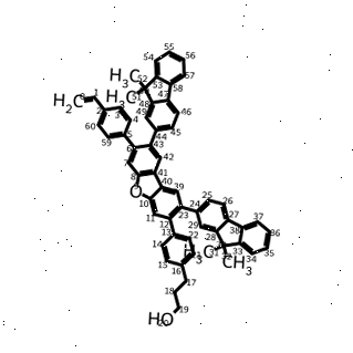 C=Cc1ccc(-c2cc3oc4cc(-c5ccc(CCCO)cc5)c(-c5ccc6c(c5)C(C)(C)c5ccccc5-6)cc4c3cc2-c2ccc3c(c2)C(C)(C)c2ccccc2-3)cc1